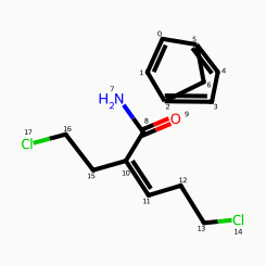 C1=CC2=CC=C1C2.NC(=O)C(=CCCCl)CCCl